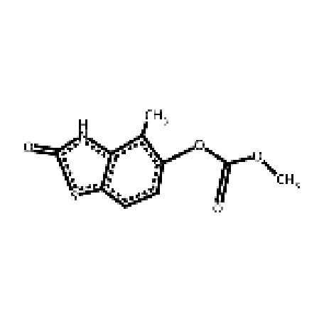 COC(=O)Oc1ccc2sc(=O)[nH]c2c1C